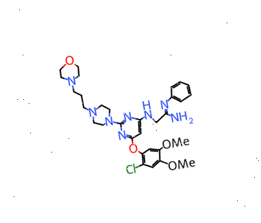 COc1cc(Cl)c(Oc2cc(NC/C(N)=N/c3ccccc3)nc(N3CCN(CCCN4CCOCC4)CC3)n2)cc1OC